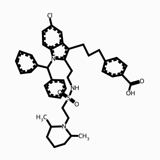 CC1CCCC(C)N1CCS(=O)(=O)NCCc1c(CCCc2ccc(C(=O)O)cc2)c2cc(Cl)ccc2n1C(c1ccccc1)c1ccccc1